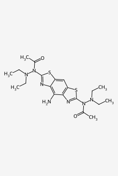 CCN(CC)N(C(C)=O)c1nc2c(N)c3nc(N(C(C)=O)N(CC)CC)sc3cc2s1